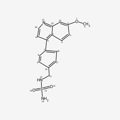 COc1ccc2c(-c3ccc(CNS(N)(=O)=O)cc3)ccnc2c1